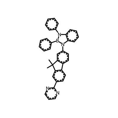 CC1(C)c2cc(-c3ncccn3)ccc2-c2ccc(N3B(c4ccccc4)N(c4ccccc4)c4ccccc43)cc21